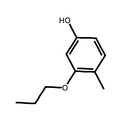 CCCOc1cc(O)ccc1C